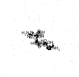 NC(=S)c1ccc[n+]([C@@H]2O[C@H](COP(=O)(O)OP(=O)(O)OC[C@H]3O[C@@H](n4cnc5c(N)ncnc54)[C@H](OP(=O)(O)O)[C@@H]3O)[C@@H](O)[C@H]2O)c1